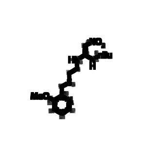 CCCCNC(=C[N+](=O)[O-])NCCSCc1ncccc1OC